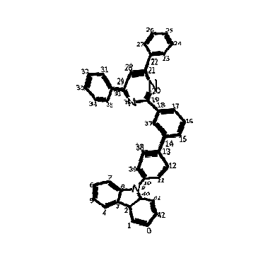 C1=CC2c3ccccc3N(c3ccc(-c4cccc(-c5nc(-c6ccccc6)cc(-c6ccccc6)n5)c4)cc3)C2C=C1